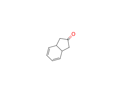 O=C1CC2C=CC=CC2C1